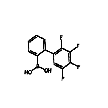 OB(O)c1ccccc1-c1cc(F)c(F)c(F)c1F